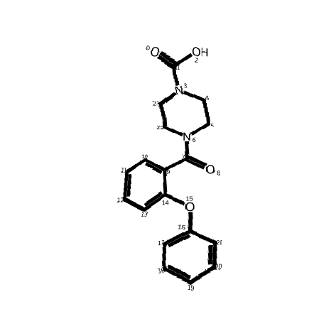 O=C(O)N1CCN(C(=O)c2ccccc2Oc2ccccc2)CC1